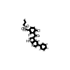 CCCS(=O)(=O)Nc1ccc(Cl)c(C(=O)C2CNc3ncc(-c4ccccc4)cc32)c1F